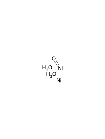 O.O.[Ni].[O]=[Ni]